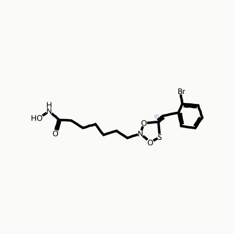 O=C(CCCCCCN1OS/C(=C\c2ccccc2Br)O1)NO